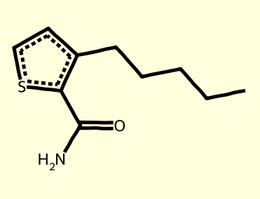 CCCCCc1ccsc1C(N)=O